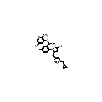 Cc1ncc(Br)cc1O[C@H](C)c1cc(F)ccc1-n1nc(C(F)(F)F)cc1Cc1cn(CC2CC2)nn1